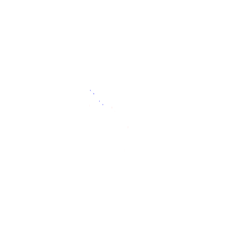 CC(C)C(=O)OCOn1[nH]o1